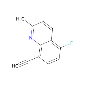 C#Cc1ccc(F)c2ccc(C)nc12